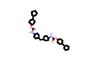 O=C(Nc1ccc(Cc2ccc(NC(=O)Oc3ccc(-c4ccccc4)cc3)cc2)cc1)Oc1ccc(-c2ccccc2)cc1